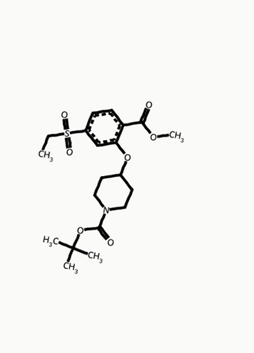 CCS(=O)(=O)c1ccc(C(=O)OC)c(OC2CCN(C(=O)OC(C)(C)C)CC2)c1